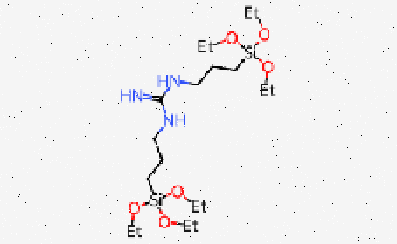 CCO[Si](CCCNC(=N)NCCC[Si](OCC)(OCC)OCC)(OCC)OCC